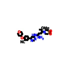 COC(C)/C(=C\C=C(/N)Nc1cc(-c2ccc(OC3CCOCC3)c(C#N)c2)ncn1)N1CCS(=O)(=O)CC1